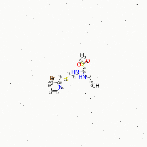 C#CCN/C(=C/S(C)(=O)=O)NCCSCc1ncccc1Br